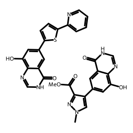 COC(=O)c1nn(C)cc1-c1cc(O)c2nc[nH]c(=O)c2c1.O=c1[nH]cnc2c(O)cc(-c3ccc(-c4ccccn4)s3)cc12